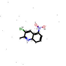 CC1=NC2CC=CC([N+](=O)[O-])=C2C=C1Br